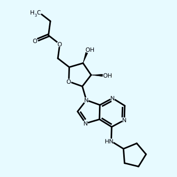 CCC(=O)OCC1OC(n2cnc3c(NC4CCCC4)ncnc32)[C@H](O)[C@@H]1O